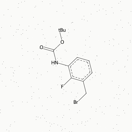 CC(C)(C)OC(=O)Nc1cccc(CBr)c1F